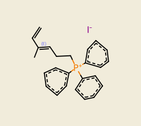 C=C/C(C)=C/CC[P+](c1ccccc1)(c1ccccc1)c1ccccc1.[I-]